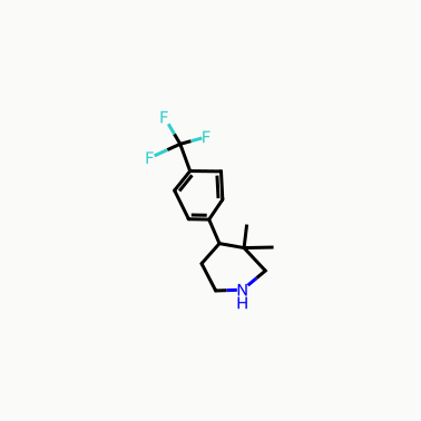 CC1(C)CNCCC1c1ccc(C(F)(F)F)cc1